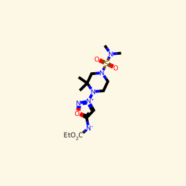 CCOC(=O)[N-]c1c[n+](N2CCN(S(=O)(=O)N(C)C)CC2(C)C)no1